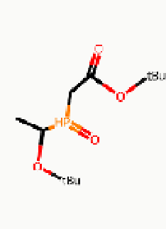 CC(OC(C)(C)C)[PH](=O)CC(=O)OC(C)(C)C